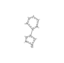 [c]1n[nH]cc1-c1ncccn1